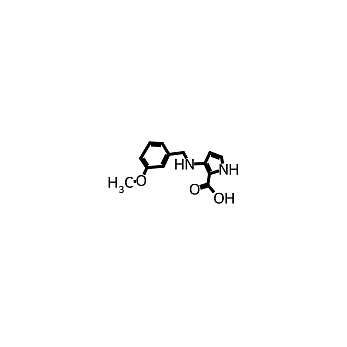 COc1cccc(CNc2cc[nH]c2C(=O)O)c1